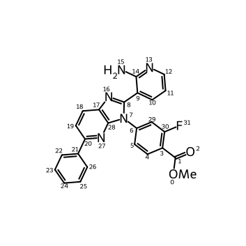 COC(=O)c1ccc(-n2c(-c3cccnc3N)nc3ccc(-c4ccccc4)nc32)cc1F